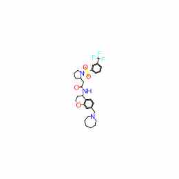 O=C(CC1CCCN1S(=O)(=O)c1cccc(C(F)(F)F)c1)NC1CCOc2cc(CN3CCCCCC3)ccc21